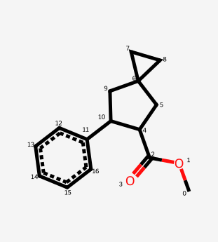 COC(=O)C1CC2(CC2)CC1c1ccccc1